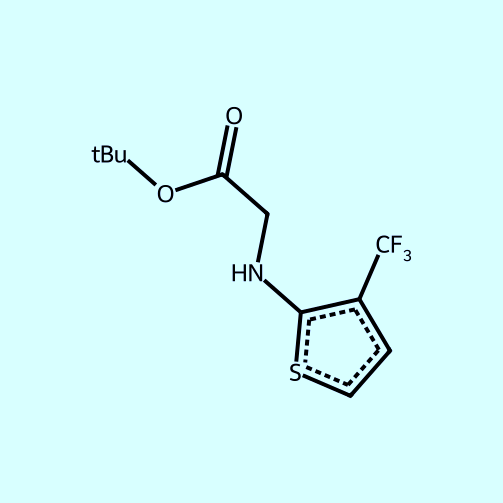 CC(C)(C)OC(=O)CNc1sccc1C(F)(F)F